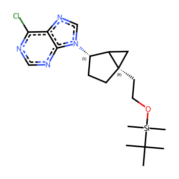 CC(C)(C)[Si](C)(C)OCC[C@]12CC[C@H](n3cnc4c(Cl)ncnc43)C1C2